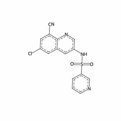 N#Cc1cc(Cl)cc2cc(NS(=O)(=O)c3cccnc3)cnc12